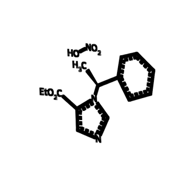 CCOC(=O)c1cncn1[C@@H](C)c1ccccc1.O=[N+]([O-])O